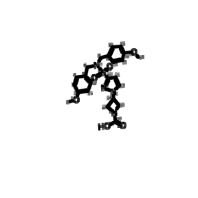 COc1ccc(CN(Cc2ccc(OC)cc2)S(=O)(=O)c2ccn(C3CN(C(=O)O)C3)n2)cc1